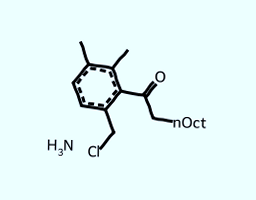 CCCCCCCCCC(=O)c1c(CCl)ccc(C)c1C.N